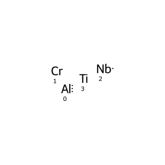 [Al].[Cr].[Nb].[Ti]